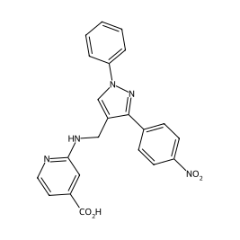 O=C(O)c1ccnc(NCc2cn(-c3ccccc3)nc2-c2ccc([N+](=O)[O-])cc2)c1